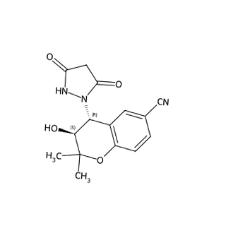 CC1(C)Oc2ccc(C#N)cc2[C@@H](N2NC(=O)CC2=O)[C@@H]1O